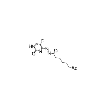 CC(=O)CCCCCC(=O)/N=N/c1nc(=O)[nH]cc1F